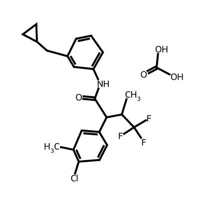 Cc1cc(C(C(=O)Nc2cccc(CC3CC3)c2)C(C)C(F)(F)F)ccc1Cl.O=C(O)O